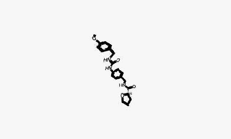 COc1ccc(CNC(=O)Nc2ccc(CNC(=O)[C@@H]3CCCO3)cc2)cc1